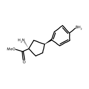 Bc1ccc([C@H]2CC[C@@](N)(C(=O)OC)C2)cc1